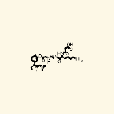 CC[C@@H](c1cccc(OC(=O)CNCCNC(=O)[C@H](CCCCN)NC(=O)CC(=O)O)c1)[C@@H](C)CN(C)C